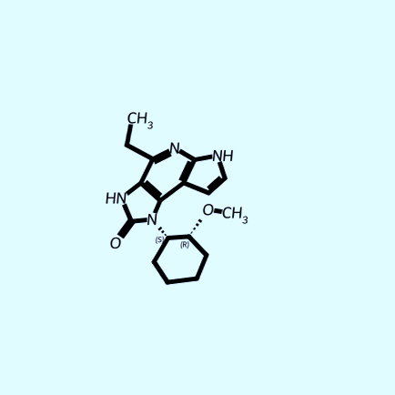 CCc1nc2[nH]ccc2c2c1[nH]c(=O)n2[C@H]1CCCC[C@H]1OC